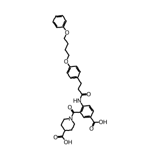 O=C(CCc1ccc(OCCCCOc2ccccc2)cc1)Nc1ccc(C(=O)O)cc1C(=O)N1CCC(C(=O)O)CC1